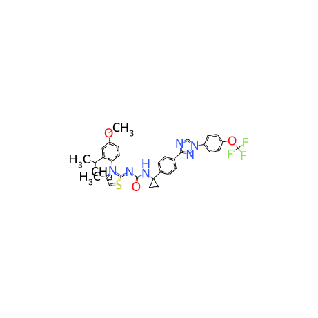 COc1ccc(-n2c(C)cs/c2=N\C(=O)NC2(c3ccc(-c4ncn(-c5ccc(OC(F)(F)F)cc5)n4)cc3)CC2)c(C(C)C)c1